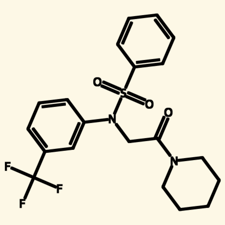 O=C(CN(c1cccc(C(F)(F)F)c1)S(=O)(=O)c1ccccc1)N1CCCCC1